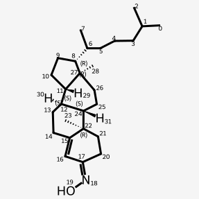 CC(C)CCCC(C)[C@H]1CC[C@H]2[C@@H]3CCC4=CC(=NO)CC[C@]4(C)[C@H]3CC[C@]12C